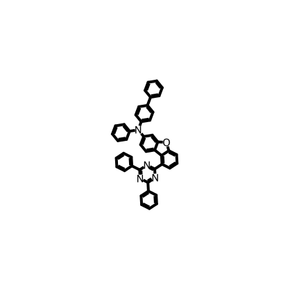 c1ccc(-c2ccc(N(c3ccccc3)c3ccc4c(c3)oc3cccc(-c5nc(-c6ccccc6)nc(-c6ccccc6)n5)c34)cc2)cc1